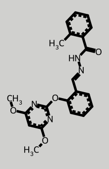 COc1cc(OC)nc(Oc2ccccc2C=NNC(=O)c2ccccc2C)n1